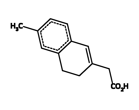 Cc1ccc2c(c1)CCC(CC(=O)O)=C2